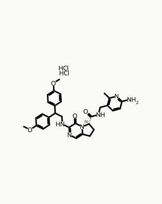 COc1ccc(C(CNc2ncc3n(c2=O)[C@H](C(=O)NCc2ccc(N)nc2C)CC3)c2ccc(OC)cc2)cc1.Cl.Cl